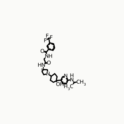 CC(C)Nc1ccc(C2(O)CCC(N3CC[C@@H](NC(=O)CNC(=O)c4cccc(C(F)(F)F)c4)C3)CC2)cn1